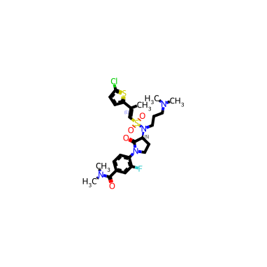 C/C(=C\S(=O)(=O)N(CCCN(C)C)[C@H]1CCN(c2ccc(C(=O)N(C)C)cc2F)C1=O)c1ccc(Cl)s1